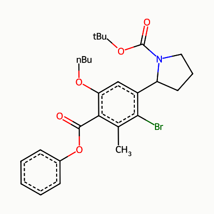 CCCCOc1cc(C2CCCN2C(=O)OC(C)(C)C)c(Br)c(C)c1C(=O)Oc1ccccc1